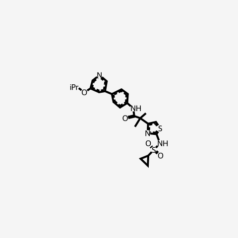 CC(C)Oc1cncc(-c2ccc(NC(=O)C(C)(C)c3csc(NS(=O)(=O)C4CC4)n3)cc2)c1